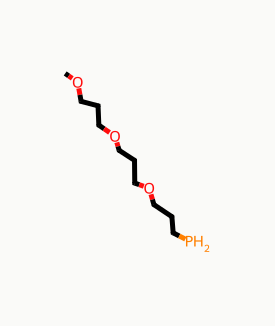 COCCCOCCCOCCCP